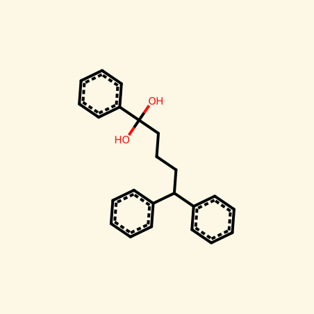 OC(O)(CCCC(c1ccccc1)c1ccccc1)c1ccccc1